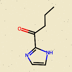 CCCC(=O)c1ncc[nH]1